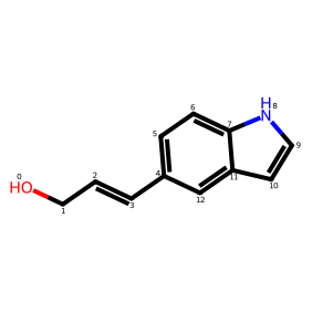 OC/C=C/c1ccc2[nH]ccc2c1